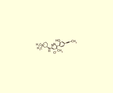 CC#Cc1ccc(-c2nnc(N[C@@H]3CCC[N+](C)(C)C3)cc2C)c(O)c1.[Cl-]